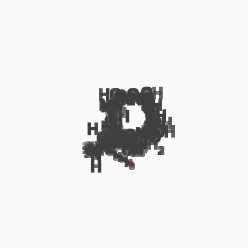 CCCCCCCCCC(=O)N[C@@H](Cc1c[nH]c2ccccc12)C(=O)N[C@@H](CC(N)=O)C(=O)N[C@@H](CC(=O)O)C(=O)N[C@@H]1C(=O)NCC(=O)N[C@H](CCCN)C(=O)N[C@@H](CC(=O)O)C(=O)N[C@H](C)C(=O)N[C@@H](CC(=O)O)C(=O)NCC(=O)N[C@@H](CO)C(=O)N[C@@H]([C@@H](C)CC(=O)O)C(=O)N[C@@H](CC(=O)c2ccccc2N)C(=O)O[C@H]1C